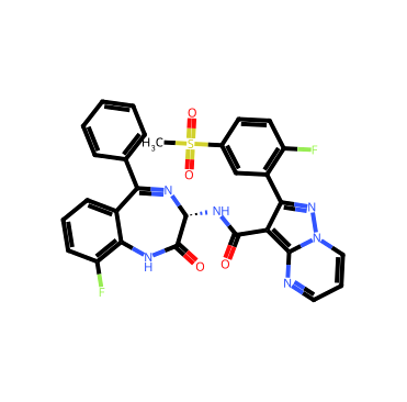 CS(=O)(=O)c1ccc(F)c(-c2nn3cccnc3c2C(=O)N[C@H]2N=C(c3ccccc3)c3cccc(F)c3NC2=O)c1